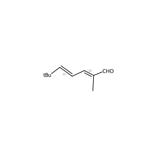 C/C(C=O)=C\C=C\C(C)(C)C